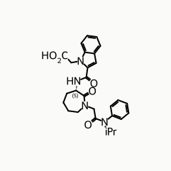 CC(C)N(C(=O)CN1CCCC[C@H](NC(=O)c2cc3ccccc3n2CC(=O)O)C1=O)c1ccccc1